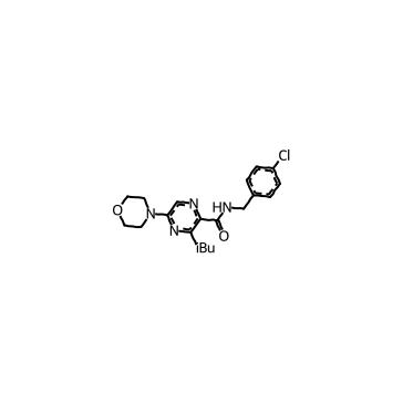 CCC(C)c1nc(N2CCOCC2)cnc1C(=O)NCc1ccc(Cl)cc1